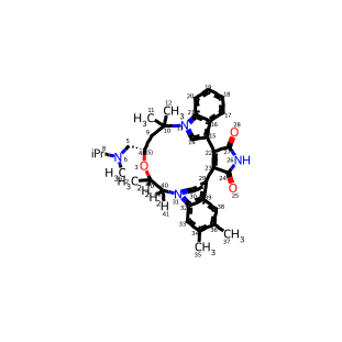 [2H]C1(C)O[C@H](CN(C)C(C)C)CC(C)(C)n2cc(c3ccccc32)C2=C(C(=O)NC2=O)c2cn(c3cc(C)c(C)cc23)C1([2H])[2H]